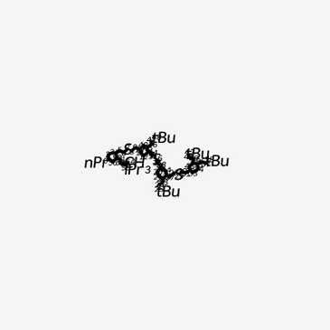 CCCC1CCC(CCSCCC2CCC(CCSCCC3CCC(CCC(C)(C)C)C(CCSCCC4CCC(CCC(C)(C)C)C(CCC(C)(C)C)C4)C3)C(CCC(C)(C)C)C2)C(CCC(C)C(C)C)C1